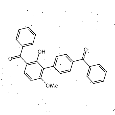 COc1ccc(C(=O)c2ccccc2)c(O)c1-c1ccc(C(=O)c2ccccc2)cc1